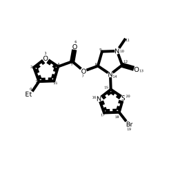 CCc1coc(C(=O)OC2CN(C)C(=O)N2c2ncc(Br)s2)c1